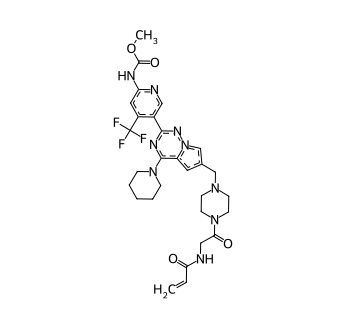 C=CC(=O)NCC(=O)N1CCN(Cc2cc3c(N4CCCCC4)nc(-c4cnc(NC(=O)OC)cc4C(F)(F)F)nn3c2)CC1